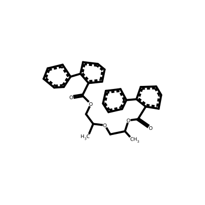 CC(COC(=O)c1ccccc1-c1ccccc1)OCC(C)OC(=O)c1ccccc1-c1ccccc1